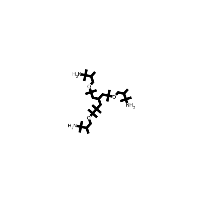 CC(COC(C)(C)CC(CC(C)(C)OCC(C)C(C)(C)N)CC(C)(C)C(C)(C)OCC(C)C(C)(C)N)C(C)(C)N